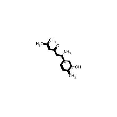 C=C1C=C[C@@H]([C@@H](C)CC(=O)C=C(C)C)C[C@@H]1O